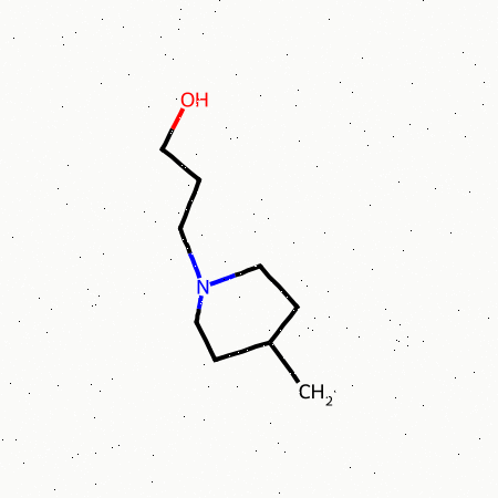 [CH2]C1CCN(CCCO)CC1